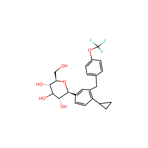 OC[C@H]1O[C@@H](c2ccc(C3CC3)c(Cc3ccc(OC(F)(F)F)cc3)c2)[C@H](O)C(O)[C@@H]1O